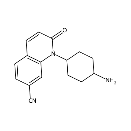 N#Cc1ccc2ccc(=O)n(C3CCC(N)CC3)c2c1